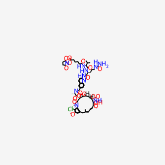 COc1cc2cc(c1Cl)N(C)C(=O)C[C@H](OC(=O)[C@H](C)N(C)C(=O)c1ccc3nc(NC(=O)[C@H](CCCNC(N)=O)NC(=O)[C@@H](NC(=O)CCCCC(=O)ON4C(=O)CCC4=O)C(C)C)ccc3c1)[C@]1(C)O[C@H]1[C@H](C)[C@@H]1C[C@@](O)(NC(=O)O1)[C@H](OC)/C=C/C=C(\C)C2